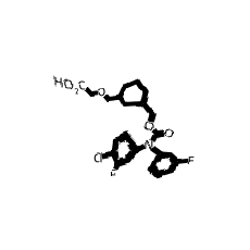 O=C(O)COCC1CCCC(COC(=O)N(c2cccc(F)c2)c2ccc(Cl)c(F)c2)C1